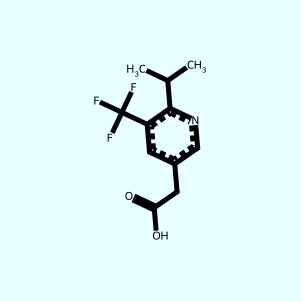 CC(C)c1ncc(CC(=O)O)cc1C(F)(F)F